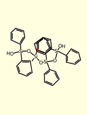 C[Si](C)(O[Si](O)(c1ccccc1)c1ccccc1)O[Si](O[Si](O)(c1ccccc1)c1ccccc1)(c1ccccc1)c1ccccc1